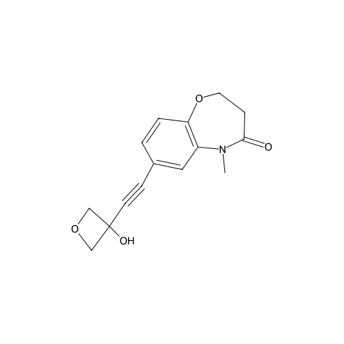 CN1C(=O)CCOc2ccc(C#CC3(O)COC3)cc21